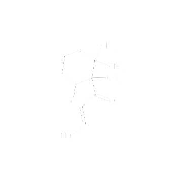 C/C=C/C(=O)C1(C)C(C)CCCC1(C)C